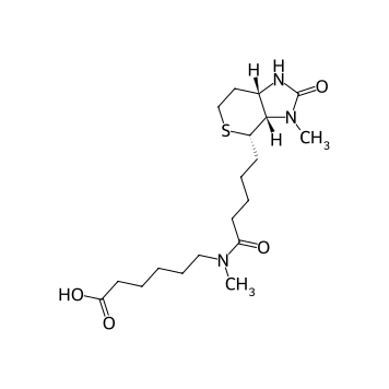 CN(CCCCCC(=O)O)C(=O)CCCC[C@@H]1SCC[C@@H]2NC(=O)N(C)[C@@H]21